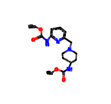 CC(C)(C)OC(=O)Nc1cccc(CN2CCC(NC(=O)OC(C)(C)C)CC2)n1